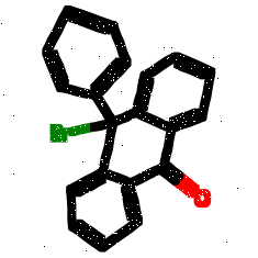 O=C1c2ccccc2C(Br)(c2ccccc2)c2ccccc21